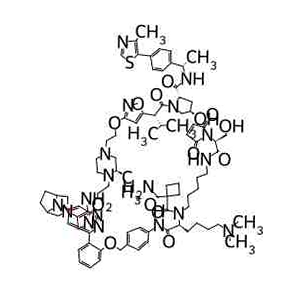 Cc1ncsc1-c1ccc([C@H](C)NC(=O)[C@@H]2C[C@@H](O)CN2C(=O)[C@@H](c2cc(OCCN3CCN(CCOc4cc(N5C6CCC5CN(c5cc(-c7ccccc7OCc7ccc(NC(=O)[C@H](CCCCN(C)C)N(CCCCCNC(=O)[C@H](CO)N8C(=O)C=CC8=O)C(=O)C8(C(N)=O)CCC8)cc7)nnc5N)C6)ccn4)[C@H](C)C3)no2)C(C)C)cc1